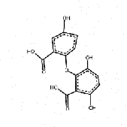 O=C(O)c1cc(O)ccc1Oc1c(O)ccc(O)c1C(=O)O